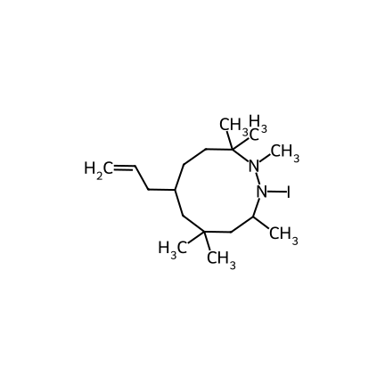 C=CCC1CCC(C)(C)N(C)N(I)C(C)CC(C)(C)C1